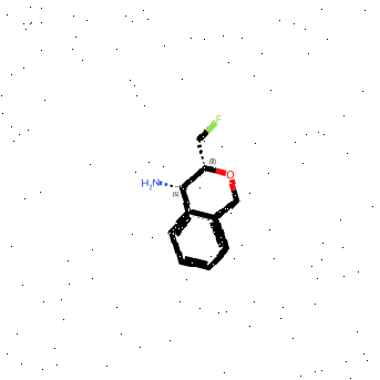 N[C@H]1c2ccccc2CO[C@H]1CF